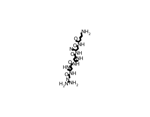 N#CC(CC(=O)NC(C=O)C/C=C/CN)NC(=O)c1cc(NC(=O)c2cc(NC(=O)CN=C(N)N)c[nH]2)c[nH]1